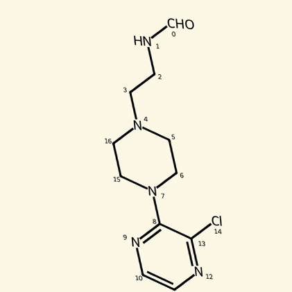 O=CNCCN1CCN(c2nccnc2Cl)CC1